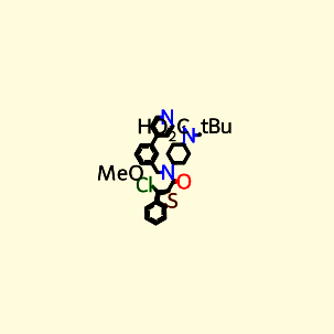 COc1ccc(-c2ccncc2)cc1CN(C(=O)c1sc2ccccc2c1Cl)C1CCC(N(CC(C)(C)C)C(=O)O)CC1